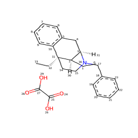 CC[C@@H]1[C@H]2Cc3ccccc3[C@]1(CC)CCN2Cc1ccccc1.O=C(O)C(=O)O